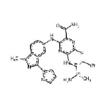 CC(C)C[C@@H](Nc1nc(Nc2ccc3c(c2)c(-n2cccn2)nn3C)c(C(N)=O)cc1F)[C@H](C)N